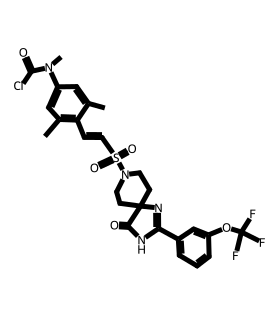 Cc1cc(N(C)C(=O)Cl)cc(C)c1C=CS(=O)(=O)N1CCC2(CC1)N=C(c1cccc(OC(F)(F)F)c1)NC2=O